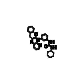 O=C(Nc1cccc(-n2c(=O)c(Cc3ccccc3)nc3cccnc32)c1)NC1CCCCC1